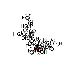 CC(=O)NC1C(O[C@@H](CC2CCCCC2)C(=O)O)[C@@H](O)C(CO)O[C@H]1O[C@@H]1CC(C(=O)NCCNC(=O)C2CC(n3cc(-c4cc(F)c(F)c(F)c4)nn3)C(O)[C@H](O[C@@H]3OC(CO)[C@H](O)C(n4cc(-c5cc(F)c(F)c(F)c5)nn4)C3O)C2)CC(n2cc(-c3ccccc3)nn2)C1O[C@@H]1OC(C)[C@@H](O)C(O)C1O